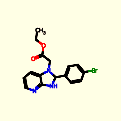 CCOC(=O)CN1c2cccnc2NC1c1ccc(Br)cc1